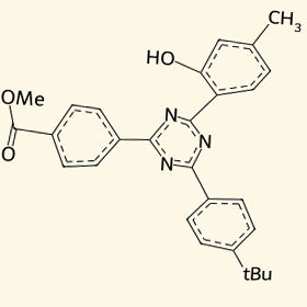 COC(=O)c1ccc(-c2nc(-c3ccc(C(C)(C)C)cc3)nc(-c3ccc(C)cc3O)n2)cc1